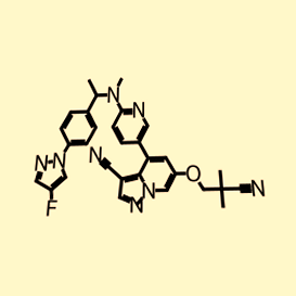 CC(c1ccc(-n2cc(F)cn2)cc1)N(C)c1ccc(-c2cc(OCC(C)(C)C#N)cn3ncc(C#N)c23)cn1